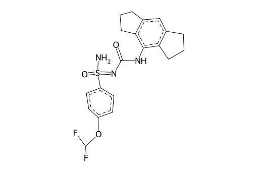 NS(=O)(=NC(=O)Nc1c2c(cc3c1CCC3)CCC2)c1ccc(OC(F)F)cc1